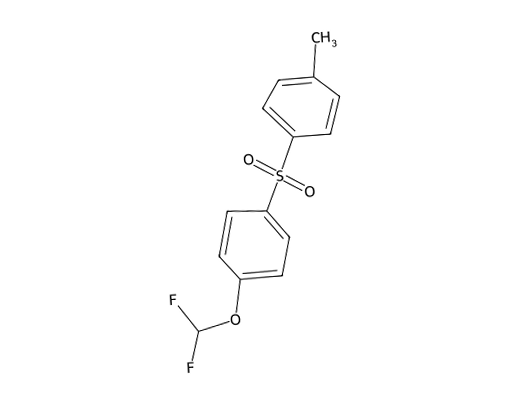 Cc1ccc(S(=O)(=O)c2ccc(OC(F)F)cc2)cc1